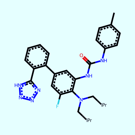 Cc1ccc(NC(=O)Nc2cc(-c3ccccc3-c3nnn[nH]3)cc(F)c2N(CC(C)C)CC(C)C)cc1